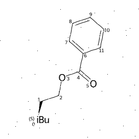 CC[C@H](C)CCOC(=O)c1ccccc1